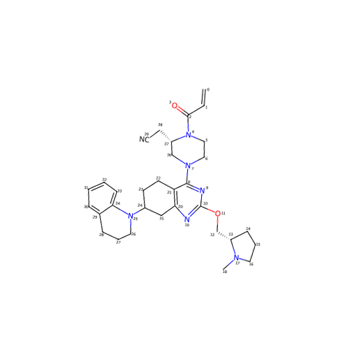 C=CC(=O)N1CCN(c2nc(OC[C@@H]3CCCN3C)nc3c2CCC(N2CCCc4ccccc42)C3)C[C@@H]1CC#N